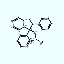 CC(c1ccccc1)C(OP(O)O)(c1ccccc1)c1ccccc1